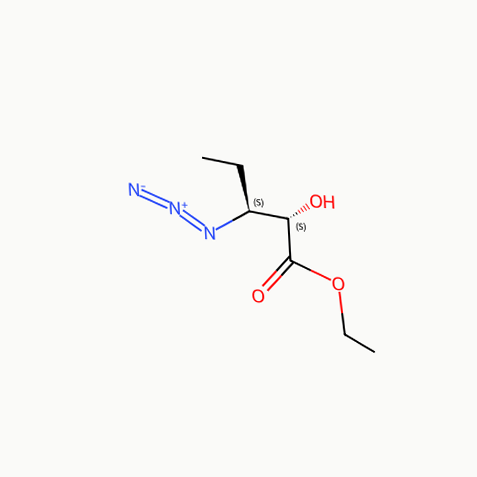 CCOC(=O)[C@@H](O)[C@H](CC)N=[N+]=[N-]